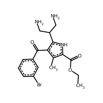 CCOC(=O)c1[nH]c(C(CN)CN)c(C(=O)c2cccc(Br)c2)c1C